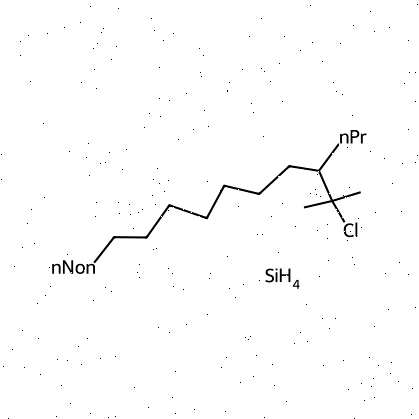 CCCCCCCCCCCCCCCCC(CCC)C(C)(C)Cl.[SiH4]